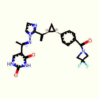 C=C(c1nccn1/N=C(\C)c1c[nH]c(=O)[nH]c1=O)[C@H]1C[C@@H]1c1ccc(C(=O)N2CC(F)(F)C2)cc1